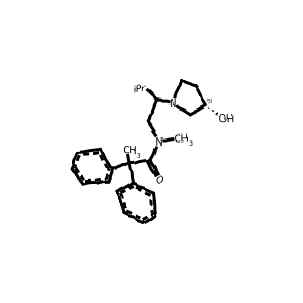 CC(C)C(CN(C)C(=O)C(C)(c1ccccc1)c1ccccc1)N1CC[C@H](O)C1